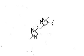 Cc1cnc(C(C)Cc2cc(C(C)C)c(C)nn2)c(C)n1